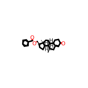 C[C@@H]1CC2=CC(=O)CC[C@@H]2[C@H]2CC[C@]3(C)[C@H](COC(=O)c4ccccc4)CC[C@@H]3[C@@H]21